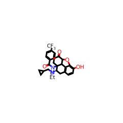 CCN(CC1CC1)[C@@H]1Cc2ccc(O)c3c2C2C(O3)C(=O)CCC21NC(=O)c1ccc(C(F)(F)F)cc1